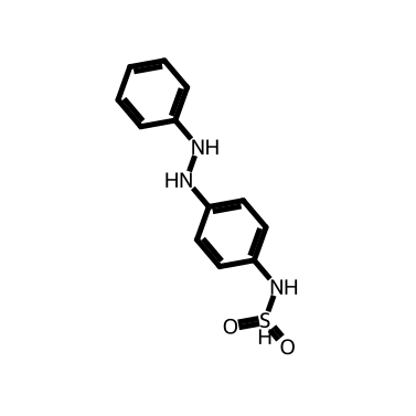 O=[SH](=O)Nc1ccc(NNc2ccccc2)cc1